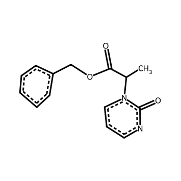 CC(C(=O)OCc1ccccc1)n1cccnc1=O